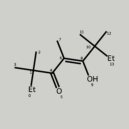 CCC(C)(C)C(=O)/C(C)=C(\O)C(C)(C)CC